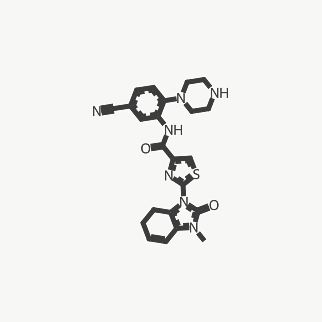 Cn1c2c(n(-c3nc(C(=O)Nc4cc(C#N)ccc4N4CCNCC4)cs3)c1=O)CCC=C2